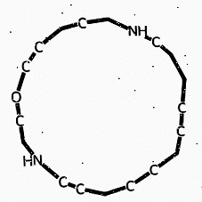 C1CCCCCNCCCCCOCCNCCCCC1